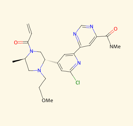 C=CC(=O)N1C[C@H](c2cc(Cl)nc(-c3cc(C(=O)NC)ncn3)c2)N(CCOC)C[C@H]1C